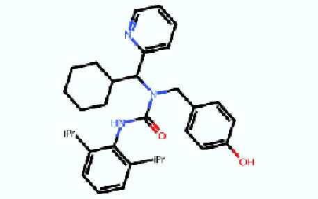 CC(C)c1cccc(C(C)C)c1NC(=O)N(Cc1ccc(O)cc1)C(c1ccccn1)C1CCCCC1